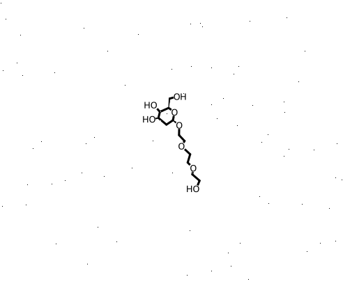 OCCOCCOCCO[C@H]1C[C@@H](O)C(O)[C@@H](CO)O1